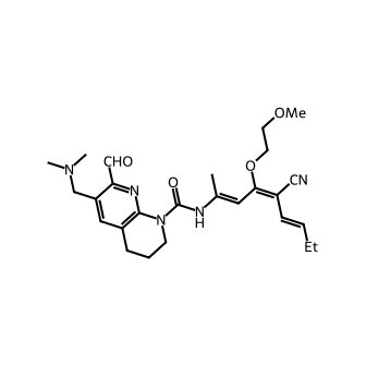 CC/C=C/C(C#N)=C(\C=C(/C)NC(=O)N1CCCc2cc(CN(C)C)c(C=O)nc21)OCCOC